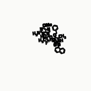 COc1nc(N)nc2c1ncn2[C@@H]1O[C@H](COP(=O)(N[C@@H](C)C(=O)OCc2ccccc2)Oc2cccc3ccccc23)[C@H](F)[C@@]1(C)O